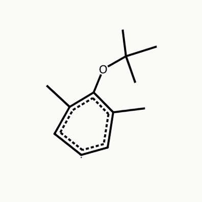 Cc1c[c]cc(C)c1OC(C)(C)C